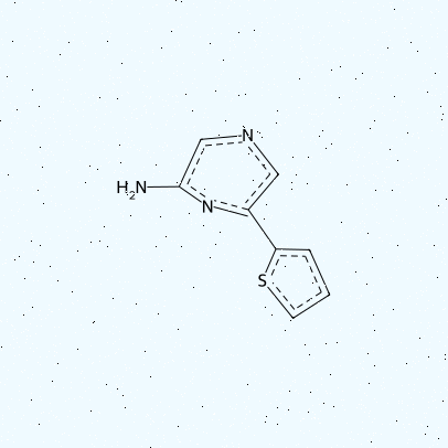 Nc1cncc(-c2cccs2)n1